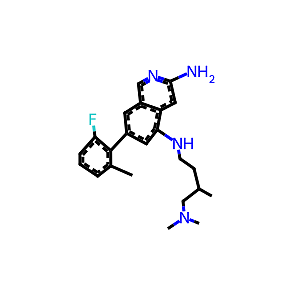 Cc1cccc(F)c1-c1cc(NCCC(C)CN(C)C)c2cc(N)ncc2c1